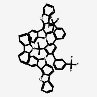 CC(C)(c1c(-n2c3ccccc3c3c4oc5ccccc5c4ccc32)c(-c2cccc(C(F)(F)F)c2)cc(-c2cccc(C(F)(F)F)c2)c1-n1c2ccccc2c2c3oc4ccccc4c3ccc21)n1c2ccccc2c2ccccc21